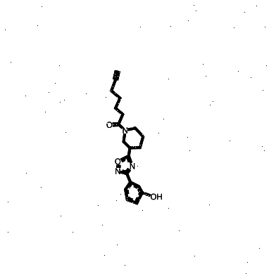 C#CCCCCC(=O)N1CCCC(c2nc(-c3cccc(O)c3)no2)C1